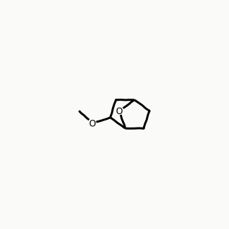 COC1CC2CCC1O2